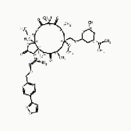 CC[C@@H]1OC(=O)[C@@](C)(F)C(=O)[C@H](C)C[C@](COC2C[C@@H](N(C)C)C[C@@H](C)O2)(OC)C[C@@H](C)C(=O)[C@H](C)[C@H]2[C@H](/C(N)=N/OCc3ncc(-c4ccon4)cn3)C(=O)O[C@@]21C